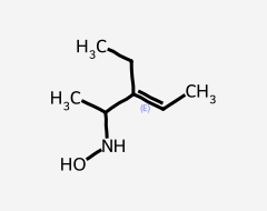 C/C=C(\CC)C(C)NO